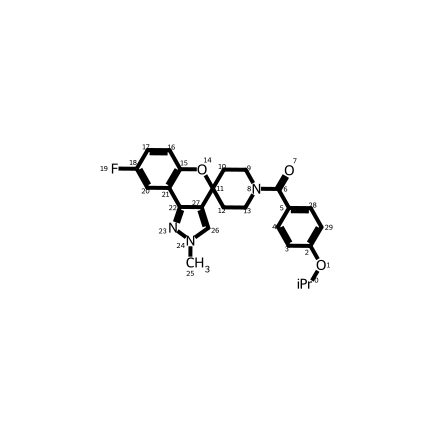 CC(C)Oc1ccc(C(=O)N2CCC3(CC2)Oc2ccc(F)cc2-c2nn(C)cc23)cc1